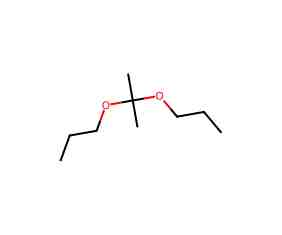 CCCOC(C)(C)OCCC